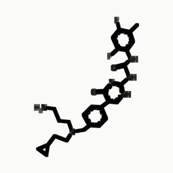 Cc1cc(NC(=O)Nc2nc(=O)c(-c3ccc(CN(CCCN)CCC4CC4)cc3)c[nH]2)c(F)cc1F